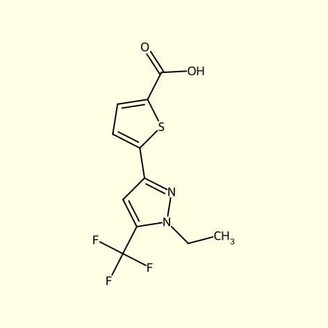 CCn1nc(-c2ccc(C(=O)O)s2)cc1C(F)(F)F